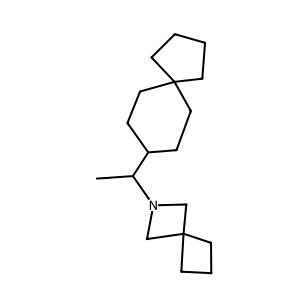 CC(C1CCC2(CCCC2)CC1)N1CC2(CCC2)C1